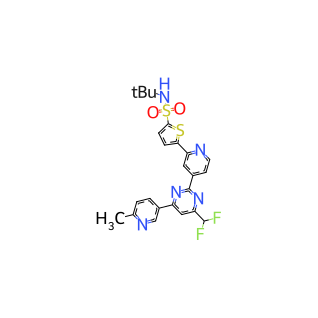 Cc1ccc(-c2cc(C(F)F)nc(-c3ccnc(-c4ccc(S(=O)(=O)NC(C)(C)C)s4)c3)n2)cn1